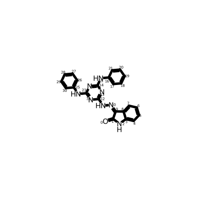 O=C1Nc2ccccc2/C1=N/Nc1nc(Nc2ccccc2)nc(Nc2ccccc2)n1